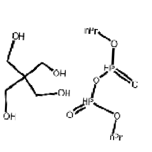 CCCO[PH](=O)O[PH](=O)OCCC.OCC(CO)(CO)CO